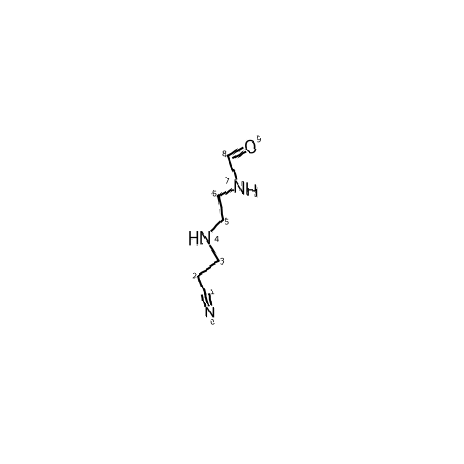 N#CCCNCCNC=O